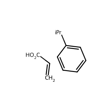 C=CC(=O)O.[CH2]C(C)c1ccccc1